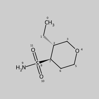 CC[C@@H]1COCC[C@H]1S(N)(=O)=O